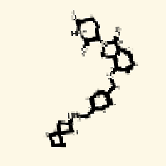 O=C1CCC(N2Cc3c(SCc4ccc(CNC5CC6(CCC6)C5)cc4)cccc3C2=O)C(=O)N1